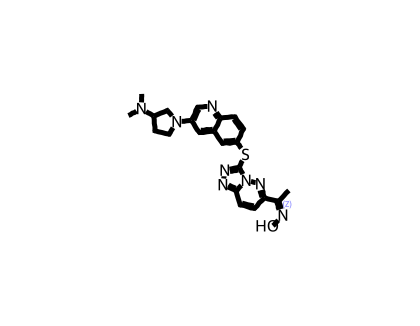 C/C(=N/O)c1ccc2nnc(Sc3ccc4ncc(N5CCC(N(C)C)C5)cc4c3)n2n1